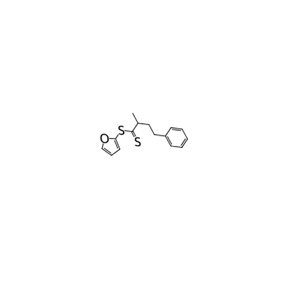 CC(CCc1ccccc1)C(=S)Sc1ccco1